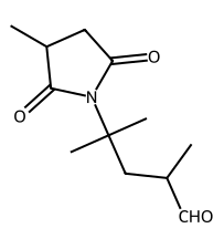 CC(C=O)CC(C)(C)N1C(=O)CC(C)C1=O